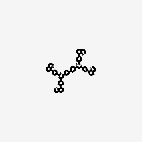 c1cnc2c(-c3ccc(-c4cc(-c5ccc(-c6ccc(-c7cc(-c8ccc(-c9cccc%10cccnc9%10)cc8)nc(-c8ccc(-c9cccc%10cccnc9%10)cc8)n7)cc6)cc5)nc(-c5ccc(-c6cccc7cccnc67)cc5)n4)cc3)cccc2c1